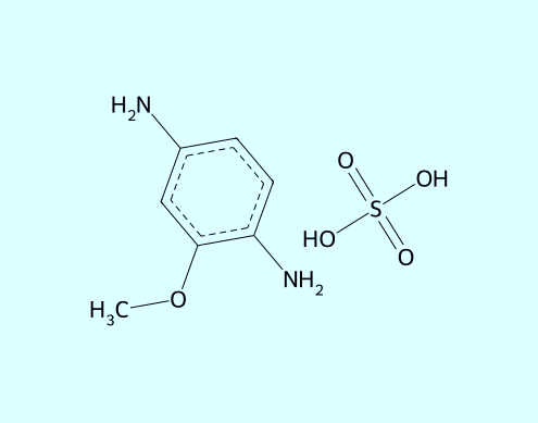 COc1cc(N)ccc1N.O=S(=O)(O)O